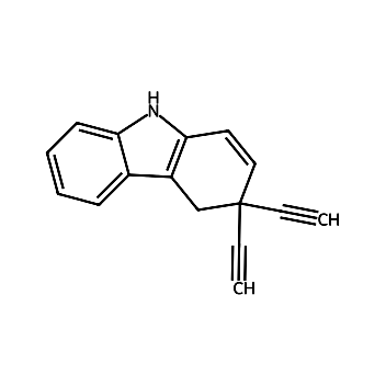 C#CC1(C#C)C=Cc2[nH]c3ccccc3c2C1